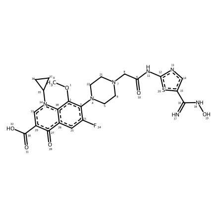 COc1c(N2CCN(CC(=O)Nc3ncc(C(=N)NO)s3)CC2)c(F)cc2c(=O)c(C(=O)O)cn(C3CC3)c12